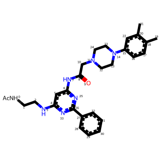 CC(=O)NCCNc1cc(NC(=O)CN2CCN(c3ccc(C)c(C)c3)CC2)nc(-c2ccccc2)n1